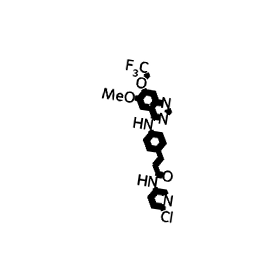 COc1cc2c(Nc3ccc(C=CC(=O)Nc4ccc(Cl)nc4)cc3)ncnc2cc1OCC(F)(F)F